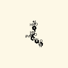 CC(C)n1nc(C(=O)NCc2ccc(NC(=O)N(C)C)cc2)c2c1CCN(c1ccc(-n3cnccc3=O)cn1)C2